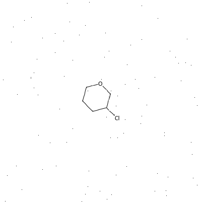 ClC1CCCOC1